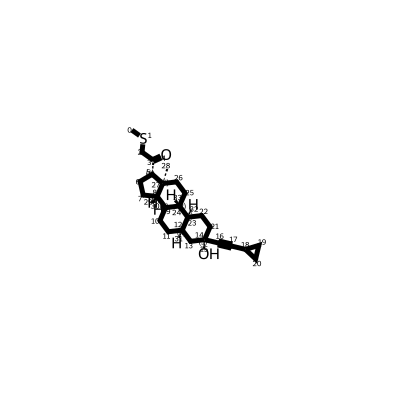 CSCC(=O)[C@H]1CC[C@H]2[C@@H]3CC[C@@H]4C[C@](O)(C#CC5CC5)CC[C@@H]4[C@H]3CC[C@]12C